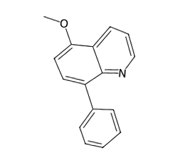 COc1ccc(-c2ccccc2)c2ncccc12